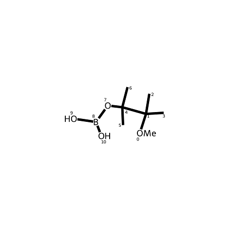 COC(C)(C)C(C)(C)OB(O)O